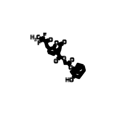 CC(F)(F)C(=O)CC1C2CC3C1OC(=O)C3C2C(=O)OCC(=O)OC12CC3CC(CC(O)(C3)C1)C2